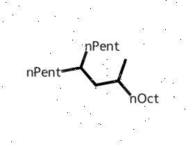 CCCCCCCCC(C)[CH]C(CCCCC)CCCCC